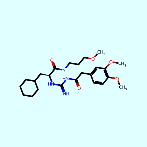 COCCCNC(=O)[C@H](CC1CCCCC1)NC(=N)NC(=O)Cc1ccc(OC)c(OC)c1